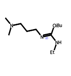 CCN/C(=N/CCCN(C)C)OCC(C)C